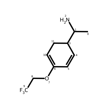 CC(N)C1C=CC(OCC(F)(F)F)=CC1